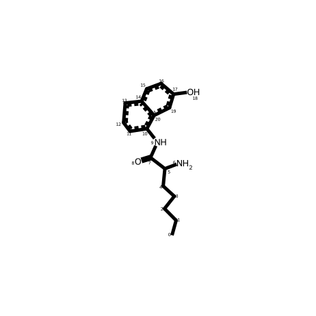 CCCCCC(N)C(=O)Nc1cccc2ccc(O)cc12